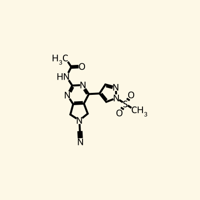 CC(=O)Nc1nc2c(c(-c3cnn(S(C)(=O)=O)c3)n1)CN(C#N)C2